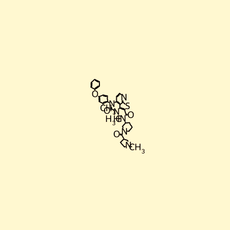 Cc1cc(Oc2ccccc2)ccc1N1C(=O)Nc2c(C(=O)N(C)C3CCCN(C(=O)C4CCN(C)C4)C3)sc3nccc1c23